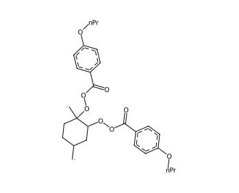 [CH2]C1CCC([CH2])(OOC(=O)c2ccc(OCCC)cc2)C(OOC(=O)c2ccc(OCCC)cc2)C1